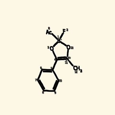 CC(=O)[B-]1(F)OC(c2ccccc2)=[N+](C)O1